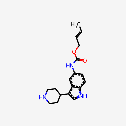 CC=CCOC(=O)Nc1ccc2[nH]cc(C3CCNCC3)c2c1